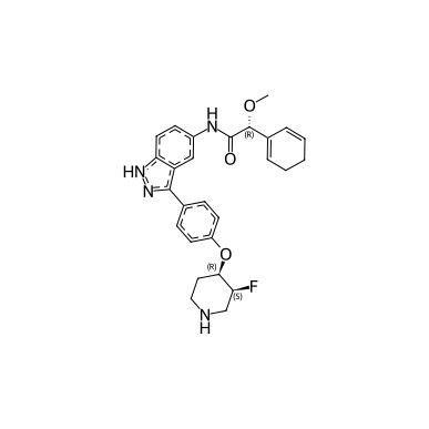 CO[C@@H](C(=O)Nc1ccc2[nH]nc(-c3ccc(O[C@@H]4CCNC[C@@H]4F)cc3)c2c1)C1=CCCC=C1